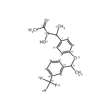 CC(=O)N(O)C(C)c1ccc(OC(C)c2cccc(C(F)(F)F)c2)cc1